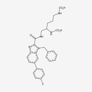 O=C(O)NCCCC(CNC(=O)c1nc2ccc(-c3ccc(F)cc3)cc2n1Cc1ccccc1)NC(=O)O